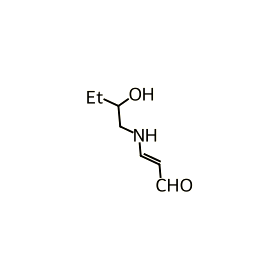 CCC(O)CNC=CC=O